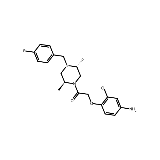 C[C@@H]1CN(C(=O)COc2ccc(N)cc2Cl)[C@@H](C)CN1Cc1ccc(F)cc1